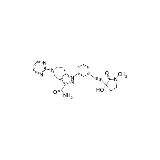 CN1CC[C@@](O)(C#Cc2cccc(-n3nc(C(N)=O)c4c3CCN(c3ncccn3)C4)c2)C1=O